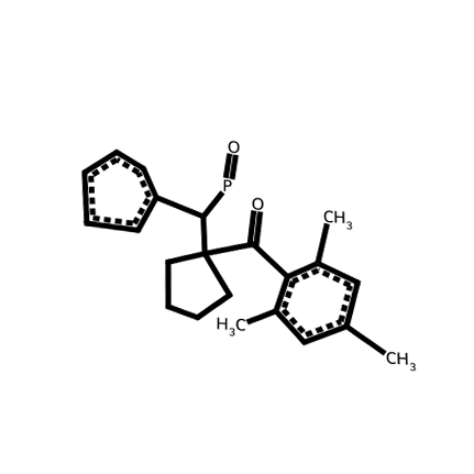 Cc1cc(C)c(C(=O)C2(C(P=O)c3ccccc3)CCCC2)c(C)c1